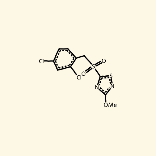 COc1nsc(S(=O)(=O)Cc2ccc(Cl)cc2Cl)n1